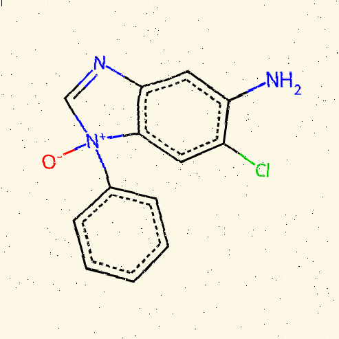 Nc1cc2c(cc1Cl)[N+]([O-])(c1ccccc1)C=N2